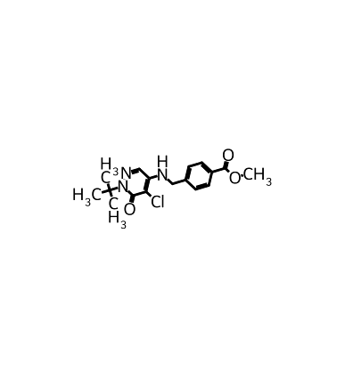 COC(=O)c1ccc(CNc2cnn(C(C)(C)C)c(=O)c2Cl)cc1